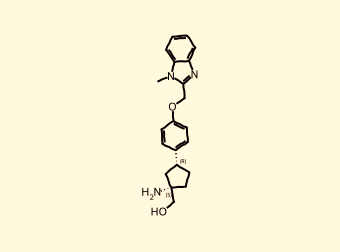 Cn1c(COc2ccc([C@@H]3CC[C@@](N)(CO)C3)cc2)nc2ccccc21